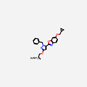 CC(=O)N[C@@H](C)COc1cc(-c2nc3ccc(OCC4CC4)cc3o2)n(Cc2ccccc2)n1